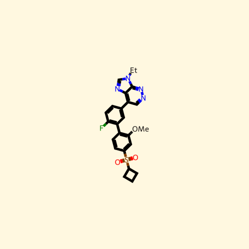 CCn1cnc2c(-c3ccc(F)c(-c4ccc(S(=O)(=O)C5CCC5)cc4OC)c3)cnnc21